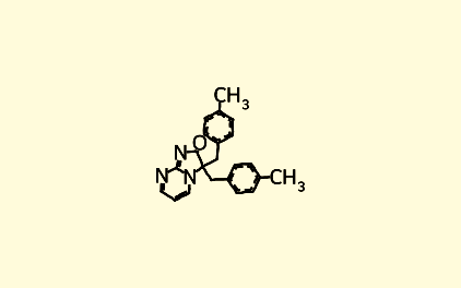 Cc1ccc(CC2(Cc3ccc(C)cc3)C(=O)N=C3N=CC=CN32)cc1